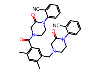 Cc1cc(C)c(C(=O)N2CCN(c3ccccc3C#N)C(=O)C2)cc1CN1CCN(c2ccccc2C#N)C(=O)C1